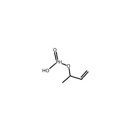 C=CC(C)O[PH](=O)O